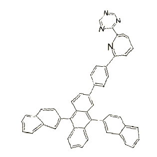 c1cc(-c2ccc(-c3ccc4c(-c5ccc6ccccc6c5)c5ccccc5c(-c5ccc6ccccc6c5)c4c3)cc2)nc(-c2ncncn2)c1